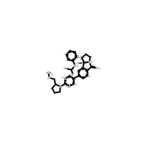 COCC1CCCN1c1ncc(-c2ccc3c(c2)[C@@H]2[C@H](c4ccccc4OC(F)F)CCN2C3=O)cn1